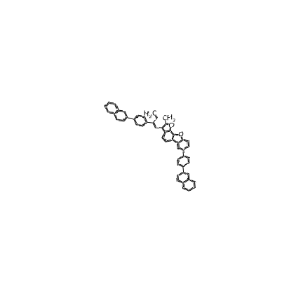 C=C/C(=C\c1c(C)oc2c1ccc1c3cc(-c4ccc(-c5ccc6ccccc6c5)cc4)ccc3oc12)c1ccc(-c2ccc3ccccc3c2)cc1